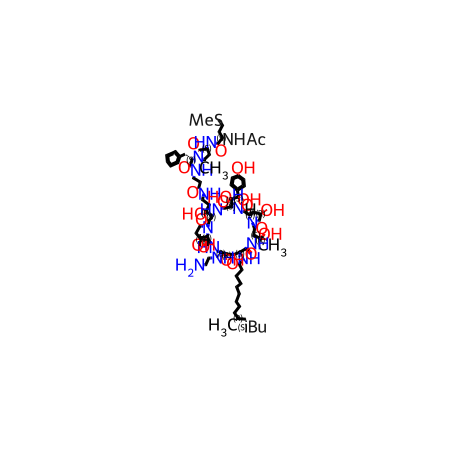 CC[C@H](C)C[C@H](C)CCCCCCCCC(=O)N[C@H]1C[C@@H](O)[C@@H](NCCN)NC(=O)[C@@H]2[C@@H](O)CCN2C(=O)[C@H]([C@H](O)CCNC(=O)CCNC(=O)[C@H](Cc2ccccc2)N2C(=O)[C@@H](NC(=O)[C@H](CCSC)NC(C)=O)CC2C)NC(=O)[C@H]([C@H](O)[C@@H](O)c2ccc(O)cc2)NC(=O)[C@@H]2C[C@@H](O)CN2C(=O)[C@H]([C@@H](C)O)NC1=O